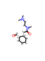 CN(C)CCN(C)C(=O)C[C@@H]1CCCC[C@@H]1C=O